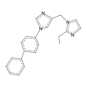 CCc1nccn1Cc1cn(-c2ccc(-c3ccccc3)cc2)cn1